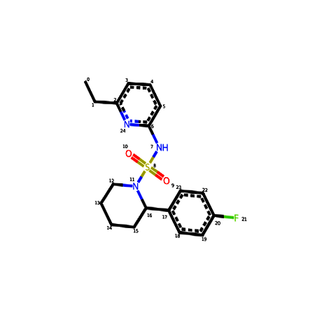 CCc1cccc(NS(=O)(=O)N2CCCCC2c2ccc(F)cc2)n1